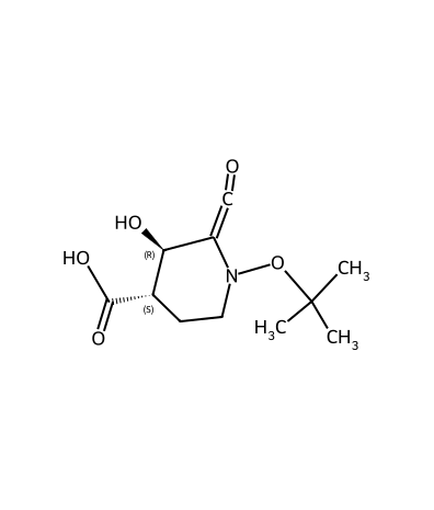 CC(C)(C)ON1CC[C@H](C(=O)O)[C@@H](O)C1=C=O